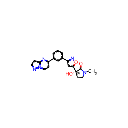 CN1CC[C@@](O)(c2cc(-c3cccc(-c4ccn5nccc5n4)c3)no2)C1=O